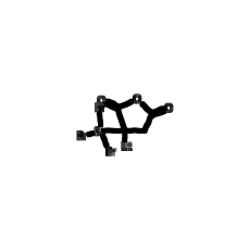 CCC1([Si](Br)(Br)Br)CC(=O)OC1=O